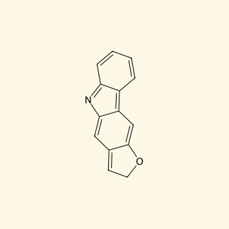 C1=c2cc3c(cc2OC1)=c1ccccc1=N3